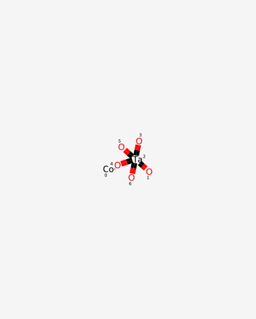 [Co].[O]=[Ta](=[O])(=[O])(=[O])=[O]